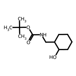 CC(C)(C)OC(=O)NCC1CCCCC1O